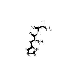 C[C@H](N)C(=O)OC(=O)[C@@H](N)Cc1c[nH]cn1